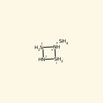 N1[SiH2]N[SiH2]1.[SiH4]